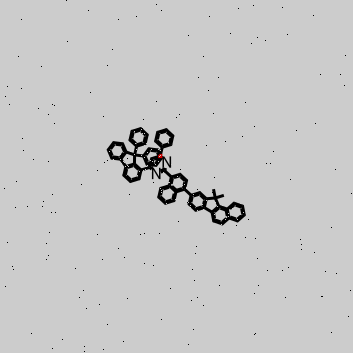 CC1(C)c2cc(-c3ccc(-c4nc(-c5ccccc5)cc(-c5cccc6c5C(c5ccccc5)(c5ccccc5)c5ccccc5-6)n4)c4ccccc34)ccc2-c2ccc3ccccc3c21